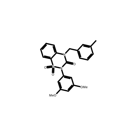 COc1cc(OC)cc(N2C(=O)N(Cc3cccc(C)c3)c3ccccc3S2(=O)=O)c1